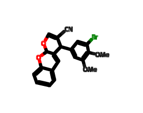 COc1cc(C2C(C#N)=COC3Oc4ccccc4C=C32)cc(Br)c1OC